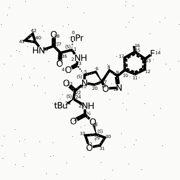 CCC[C@H](NC(=O)[C@@H]1C[C@]2(CC(c3ccc(F)c(C)c3)=NO2)CN1C(=O)[C@@H](NC(=O)O[C@H]1CCOC1)C(C)(C)C)C(=O)C(=O)NC1CC1